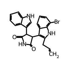 C=CCc1[nH]c2c(Br)cccc2c1C1C(=O)NC(=O)C1c1c[nH]c2ccccc12